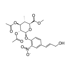 COC(=O)[C@H]1O[C@@H](Oc2ccc(/C=C/CO)cc2[N+](=O)[O-])[C@H](OC(C)=O)[C@@H](OC(C)=O)[C@@H]1C